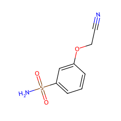 N#CCOc1cccc(S(N)(=O)=O)c1